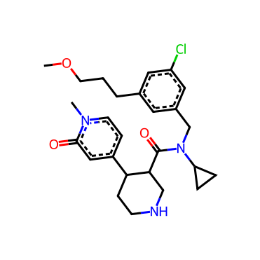 COCCCc1cc(Cl)cc(CN(C(=O)C2CNCCC2c2ccn(C)c(=O)c2)C2CC2)c1